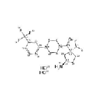 CC(C)[C@]1(C(=O)N2CCN(c3cc(C(F)(F)F)ccn3)CC2)CC[C@@H](N)C1.Cl.Cl